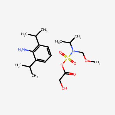 CC(C)c1cccc(C(C)C)c1N.COCN(C(C)C)S(=O)(=O)OC(=O)CO